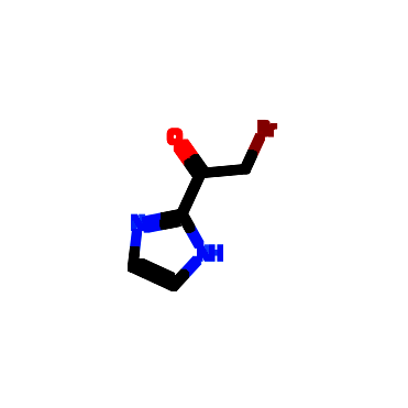 O=C(CBr)c1ncc[nH]1